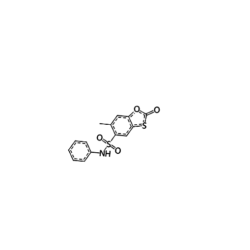 Cc1cc2oc(=O)sc2cc1S(=O)(=O)Nc1ccccc1